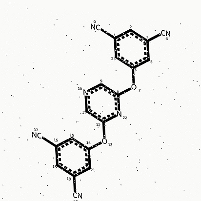 N#Cc1cc(C#N)cc(Oc2cncc(Oc3cc(C#N)cc(C#N)c3)n2)c1